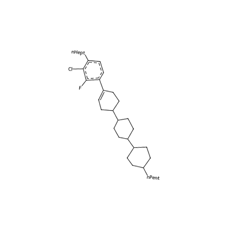 CCCCCCCc1ccc(C2=CCC(C3CCC(C4CCC(CCCCC)CC4)CC3)CC2)c(F)c1Cl